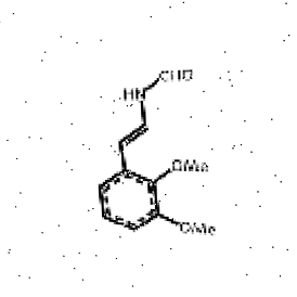 COc1cccc(C=CNC=O)c1OC